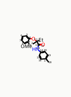 CCC(C)(Oc1ccccc1OC)C(=O)Nc1ccc(C)cc1